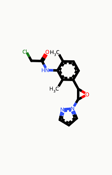 Cc1ccc(C2OC2n2cccn2)c(C)c1NC(=O)CCl